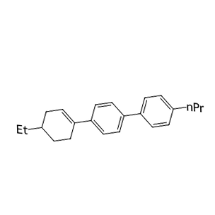 CCCc1ccc(-c2ccc(C3=CCC(CC)CC3)cc2)cc1